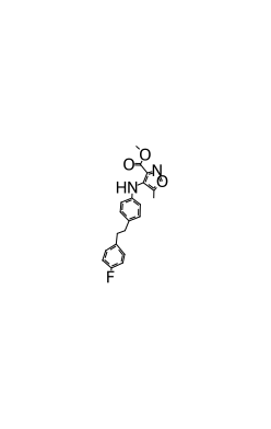 COC(=O)c1noc(C)c1Nc1ccc(CCc2ccc(F)cc2)cc1